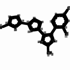 Cc1nc(-c2ccc(Cl)cc2Cl)c(-c2ccc(-c3ccc(Br)s3)s2)o1